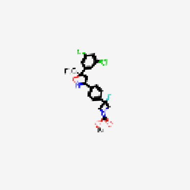 CC(C)(C)OC(=O)N1CC(F)(c2ccc(C3=NO[C@@](c4cc(Cl)cc(Cl)c4)(C(F)(F)F)C3)cc2)C1